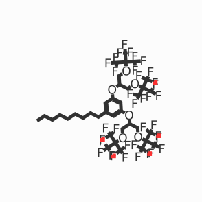 CCCCCCCCCc1cc(OC(COC(C(F)(F)F)(C(F)(F)F)C(F)(F)F)COC(C(F)(F)F)(C(F)(F)F)C(F)(F)F)cc(OC(COC(C(F)(F)F)(C(F)(F)F)C(F)(F)F)COC(C(F)(F)F)(C(F)(F)F)C(F)(F)F)c1